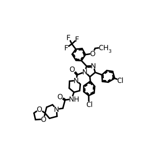 CCOc1cc(C(F)(F)F)ccc1C1=NC(c2ccc(Cl)cc2)C(c2ccc(Cl)cc2)N1C(=O)N1CCC(NC(=O)CN2CCC3(CC2)OCCO3)CC1